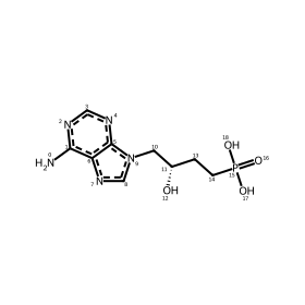 Nc1ncnc2c1ncn2C[C@@H](O)CCP(=O)(O)O